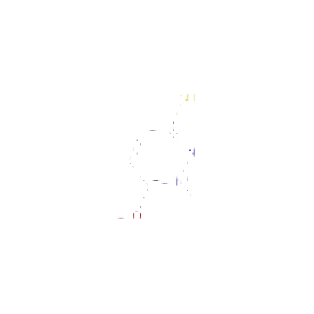 COc1ccc(S)n[n+]1[O-]